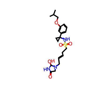 CC(C)COc1cccc(C2(NS(=O)(=O)CC/C=C/CN3CC(=O)NC3O)CC2)c1